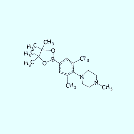 Cc1cc(B2OC(C)(C)C(C)(C)O2)cc(C(F)(F)F)c1N1CCN(C)CC1